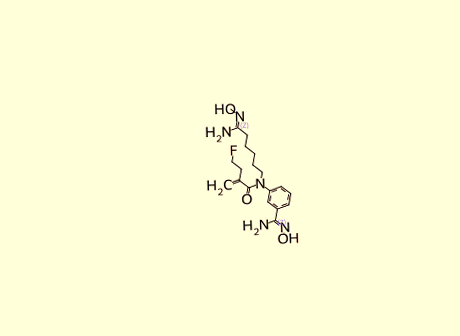 C=C(CCF)C(=O)N(CCCCC/C(N)=N/O)c1cccc(/C(N)=N/O)c1